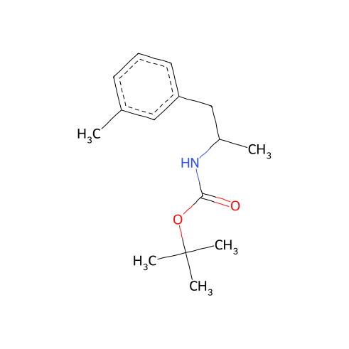 Cc1cccc(CC(C)NC(=O)OC(C)(C)C)c1